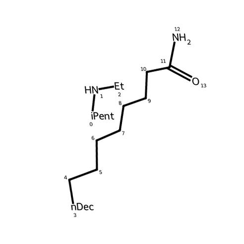 CCCC(C)NCC.CCCCCCCCCCCCCCCCCC(N)=O